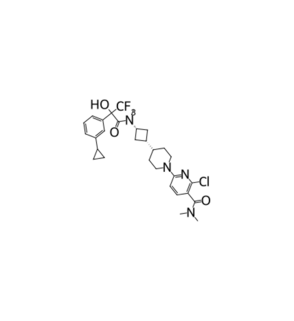 CN(C)C(=O)c1ccc(N2CCC([C@H]3C[C@@H](N(C)C(=O)C(O)(c4cccc(C5CC5)c4)C(F)(F)F)C3)CC2)nc1Cl